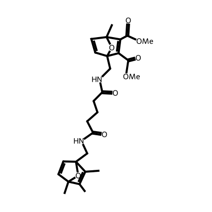 COC(=O)C1=C(C(=O)OC)C2(CNC(=O)CCCC(=O)NCC34C=CC(C)(O3)C(C)=C4C)C=CC1(C)O2